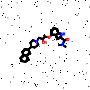 CN(C)C(=O)c1cc2c(OCC(O)CN3CCC(c4ccc5ccccc5c4)CC3)cccc2[nH]1